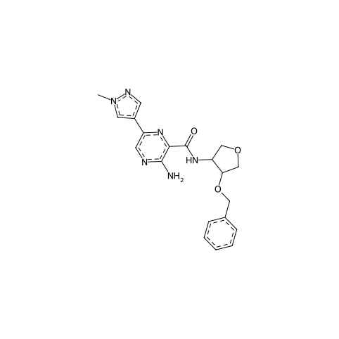 Cn1cc(-c2cnc(N)c(C(=O)NC3COCC3OCc3ccccc3)n2)cn1